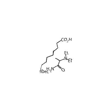 CCCCCCCCCCCCCCCCCC(=O)O.CCN(CC)C(C)C(N)=O